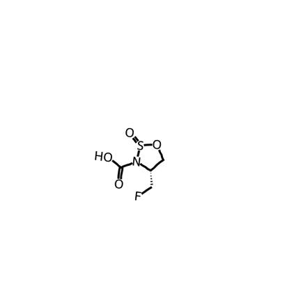 O=C(O)N1[C@@H](CF)COS1=O